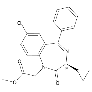 COC(=O)CN1C(=O)[C@H](C2CC2)N=C(c2ccccc2)c2cc(Cl)ccc21